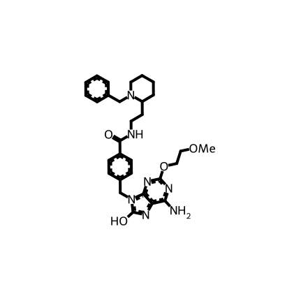 COCCOc1nc(N)c2nc(O)n(Cc3ccc(C(=O)NCCC4CCCCN4Cc4ccccc4)cc3)c2n1